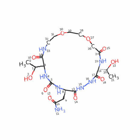 CC(O)C1NC(=O)N[C@H](CC(N)=O)C(=O)NNC(=O)[C@@H](C(C)O)NC(=O)COCCOCCNC1=O